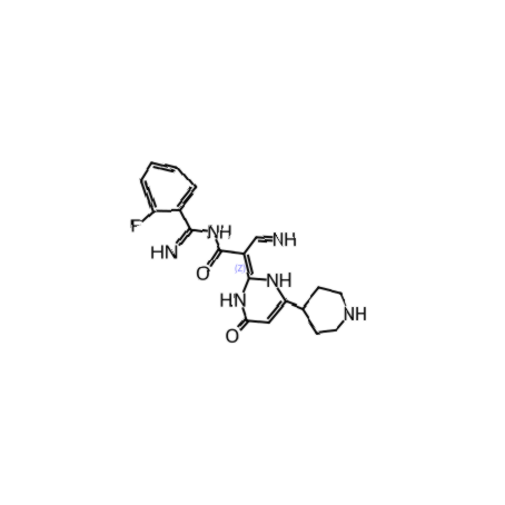 N=C/C(C(=O)NC(=N)c1ccccc1F)=C1/NC(=O)C=C(C2CCNCC2)N1